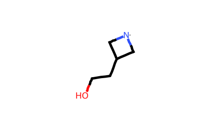 OCCC1C[N]C1